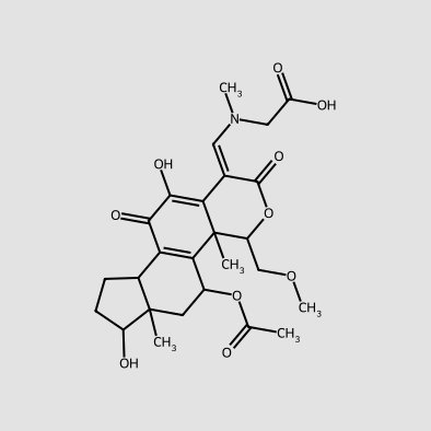 COCC1OC(=O)/C(=C\N(C)CC(=O)O)C2=C(O)C(=O)C3=C(C(OC(C)=O)CC4(C)C(O)CCC34)C21C